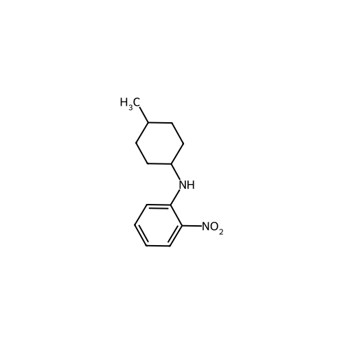 CC1CCC(Nc2ccccc2[N+](=O)[O-])CC1